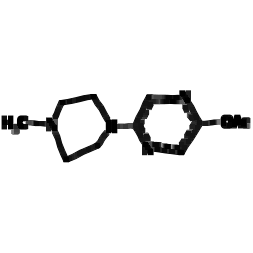 CC(=O)Oc1cnc(N2CCN(C)CC2)cn1